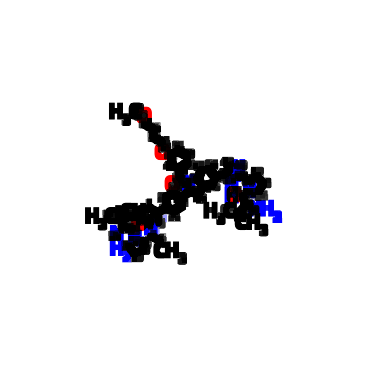 CC/C(=C\N=C(/CC)[C@@H]1CCCN1C(=O)[C@@H](N)C(C)C)c1ccc2c(c1)OC(c1cccc(OCCCCOC)c1)n1c-2cc2cc(-c3cnc([C@@H]4CCCN4C(=O)[C@@H](N)C(C)C)[nH]3)ccc21